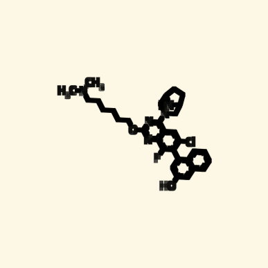 CN(C)CCCCCCOc1nc(N2CC3CCC(C2)N3)c2cc(Cl)c(-c3cc(O)cc4ccccc34)c(F)c2n1